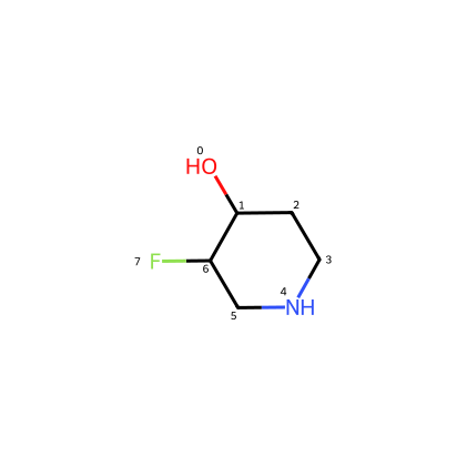 OC1CCNCC1F